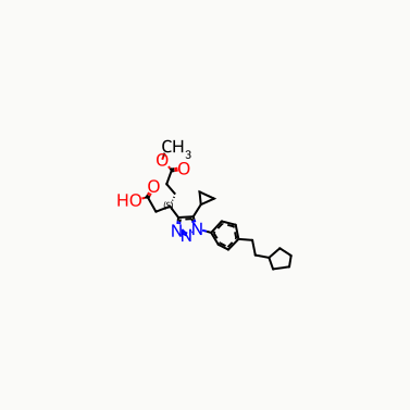 COC(=O)CC[C@@H](CC(=O)O)c1nnn(-c2ccc(CCC3CCCC3)cc2)c1C1CC1